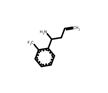 C=CCC(N)c1ccccc1C(F)(F)F